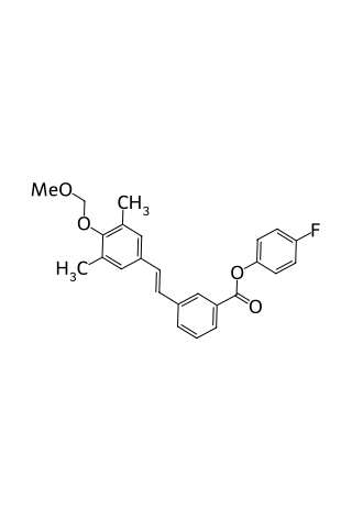 COCOc1c(C)cc(C=Cc2cccc(C(=O)Oc3ccc(F)cc3)c2)cc1C